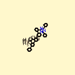 CC1(C)c2cc(-c3ccccc3)ccc2-c2ccc(-c3cccc(-c4ccccc4-c4nc(-c5ccccc5)nc(-c5ccccc5)n4)c3)cc2C1(C)C